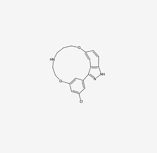 Clc1cc2cc(c1)-c1n[nH]c3ccc(cc13)OCCCNCCO2